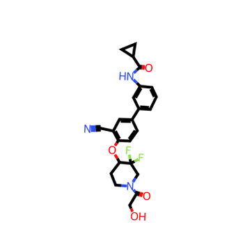 N#Cc1cc(-c2cccc(NC(=O)C3CC3)c2)ccc1OC1CCN(C(=O)CO)CC1(F)F